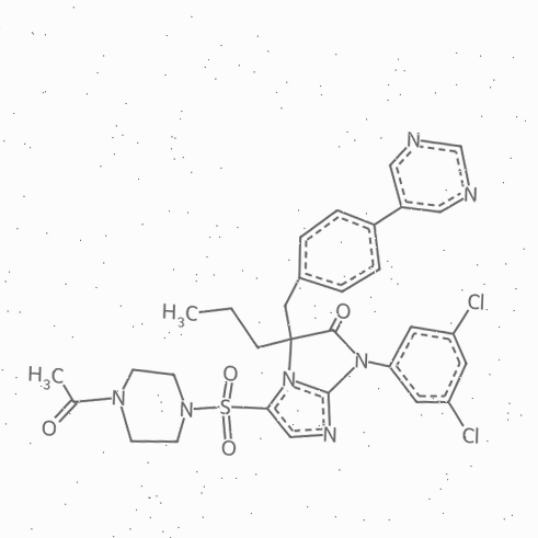 CCCC1(Cc2ccc(-c3cncnc3)cc2)C(=O)N(c2cc(Cl)cc(Cl)c2)c2ncc(S(=O)(=O)N3CCN(C(C)=O)CC3)n21